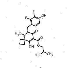 CC(C)COC(=O)C1=C(O)C2(CCC2)N(C)N(Cc2ccc(O)c(F)c2F)C1=O